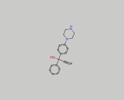 C#CC(O)(c1ccccc1)c1ccc(N2CCNCC2)cc1